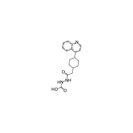 O=C(O)NNC(=O)CC1CCC(c2ccnc3ccccc23)CC1